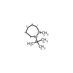 CN1CCCCCN1C(C)(C)C